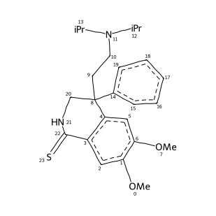 COc1cc2c(cc1OC)C(CCN(C(C)C)C(C)C)(c1ccccc1)CNC2=S